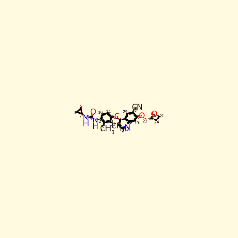 Cc1c(NC(=O)NC2CC2)ccc(Oc2ccnc3cc(OC[C@H]4CCO4)c(C#N)cc23)c1C